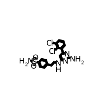 Nc1nc(NCCc2ccc(S(N)(=O)=O)cc2)cc(-c2cccc(Cl)c2Cl)n1